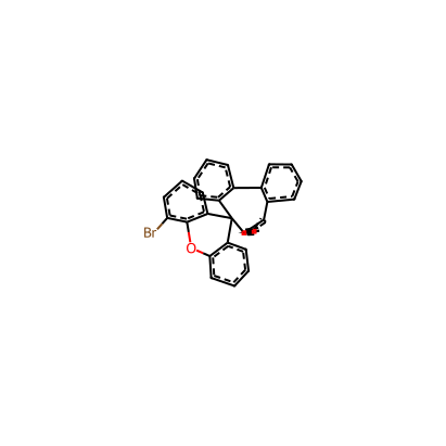 Brc1cccc2c1Oc1ccccc1C21c2ccccc2-c2ccccc2-c2ccccc21